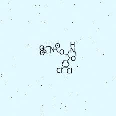 O=C(COCC1CNCCOC1c1ccc(Cl)c(Cl)c1)N1CCS(=O)(=O)CC1